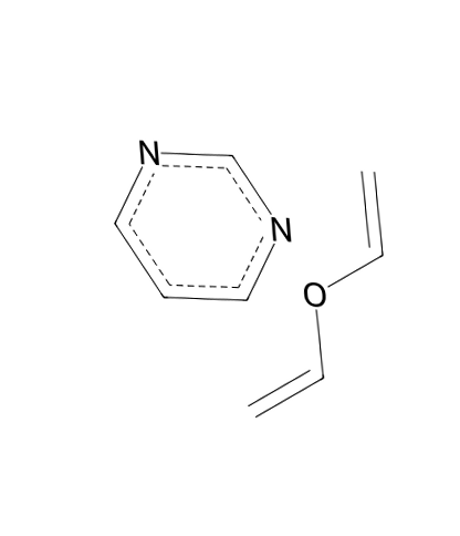 C=COC=C.c1cncnc1